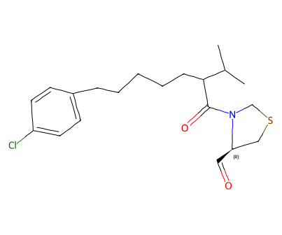 CC(C)C(CCCCCc1ccc(Cl)cc1)C(=O)N1CSC[C@H]1C=O